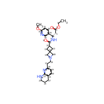 CCOC(=O)C[C@H](NC(=O)C1CC2(C1)CN(CCc1ccc3c(n1)NCCC3)C2)c1ccc(OC)nc1